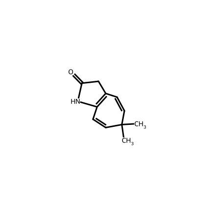 CC1(C)C=CC2=C(C=C1)NC(=O)C2